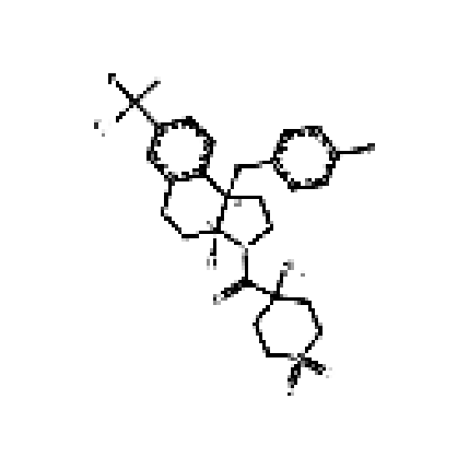 CC(F)(c1ccc2c(c1)CC[C@H]1N(C(=O)C3(N)CCS(=O)(=O)CC3)CC[C@@]21Cc1ccc(F)cc1)C(F)(F)F